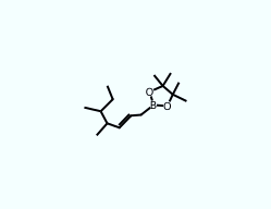 CCC(C)C(C)/C=C/CB1OC(C)(C)C(C)(C)O1